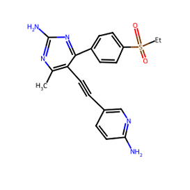 CCS(=O)(=O)c1ccc(-c2nc(N)nc(C)c2C#Cc2ccc(N)nc2)cc1